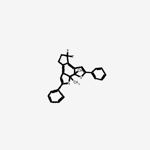 CC12SC(c3ccccc3)=CC1=C1CCC(F)(F)C1=C1C=C(c3ccccc3)SC12C